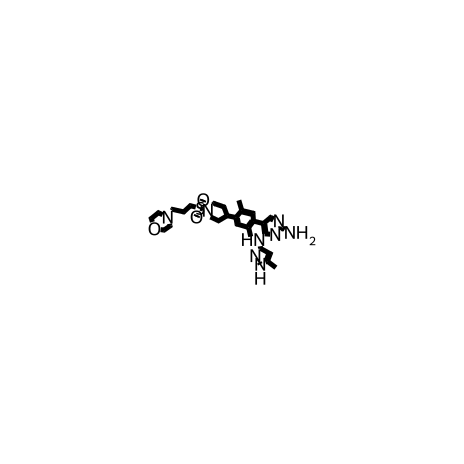 Cc1cc(Nc2nc(N)ncc2-c2cc(C)c(C3CCN(S(=O)(=O)CCCN4CCOCC4)CC3)cc2C)n[nH]1